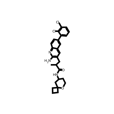 CC(Cc1cc2cc(-c3cccc(Cl)c3Cl)ccc2nc1N)C(=O)NC1CCOC2(CCC2)C1